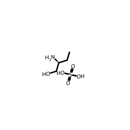 CC[C@H](N)CO.O=S(=O)(O)O